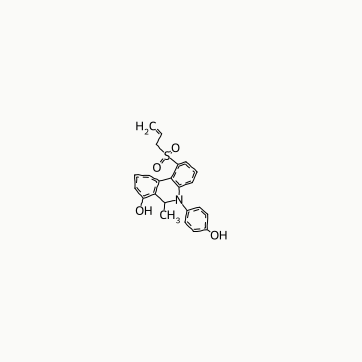 C=CCS(=O)(=O)c1cccc2c1-c1cccc(O)c1C(C)N2c1ccc(O)cc1